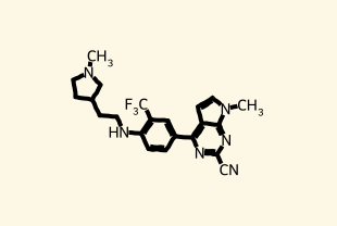 CN1CCC(CCNc2ccc(-c3nc(C#N)nc4c3ccn4C)cc2C(F)(F)F)C1